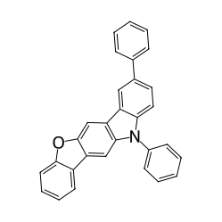 c1ccc(-c2ccc3c(c2)c2cc4oc5ccccc5c4cc2n3-c2ccccc2)cc1